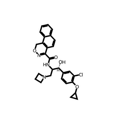 O=C(NC(CN1CCC1)[C@H](O)c1ccc(OC2CC2)c(Cl)c1)C1=NOCc2c1ccc1ccccc21